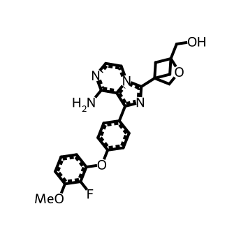 COc1cccc(Oc2ccc(-c3nc(C45COC(CO)(C4)C5)n4ccnc(N)c34)cc2)c1F